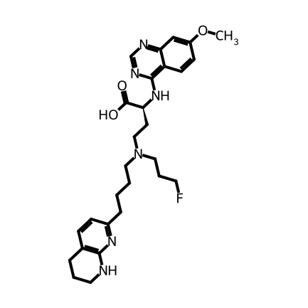 COc1ccc2c(N[C@@H](CCN(CCCF)CCCCc3ccc4c(n3)NCCC4)C(=O)O)ncnc2c1